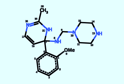 COc1ccccc1C1(NCN2CCNCC2)C=CN=C(C)N1